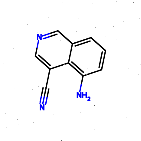 N#Cc1cncc2cccc(N)c12